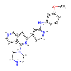 COc1cccc(Nc2cc(-c3cc4cnccc4c(N4CCNCC4)n3)ccn2)c1